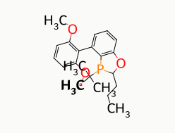 CCCC1Oc2cccc(-c3c(OC)cccc3OC)c2P1C(C)(C)C